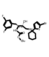 CC(C)(C)OC(=O)N[C@@H](Cc1cc(F)cc(F)c1)[C@H](O)CNC1(c2ccc(Br)s2)CCCCC1